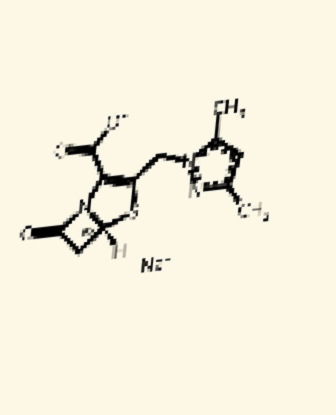 Cc1cc(C)n(CC2=C(C(=O)[O-])N3C(=O)C[C@H]3S2)n1.[Na+]